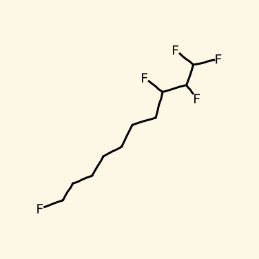 FCCCCCCCC(F)C(F)C(F)F